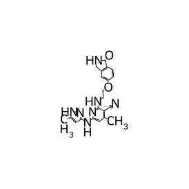 Cc1cc(Nc2cc(C)c(C#N)c(NCCOc3ccc4c(c3)CNC4=O)n2)n[nH]1